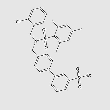 CCS(=O)(=O)c1cccc(-c2ccc(CN(Cc3ccccc3Cl)S(=O)(=O)c3c(C)cc(C)cc3C)cc2)c1